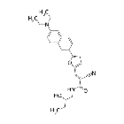 CCC(O)CNC(=O)/C(C#N)=C/c1ccc(-c2ccc3cc(N(CC)CC)ccc3c2)o1